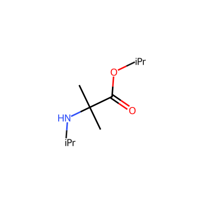 CC(C)NC(C)(C)C(=O)OC(C)C